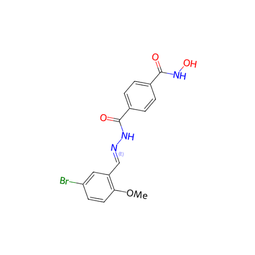 COc1ccc(Br)cc1/C=N/NC(=O)c1ccc(C(=O)NO)cc1